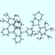 Bc1c(B)c(B)c(-c2ccccc2-c2c3ccccc3c(-c3cccc(C4=Nc5ccccc5C4c4c(B)c(B)c(B)c(B)c4B)c3)c3ccccc23)c(B)c1B